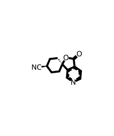 N#C[C@H]1CC[C@]2(CC1)OC(=O)c1ccncc12